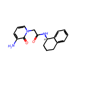 Nc1cccn(CC(=O)N[C@@H]2CCCc3ccccc32)c1=O